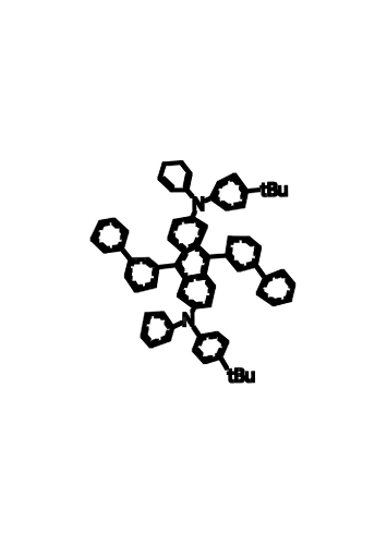 CC(C)(C)c1ccc(N(C2=CCCC=C2)c2ccc3c(-c4cccc(-c5ccccc5)c4)c4cc(N(c5ccccc5)c5ccc(C(C)(C)C)cc5)ccc4c(-c4cccc(-c5ccccc5)c4)c3c2)cc1